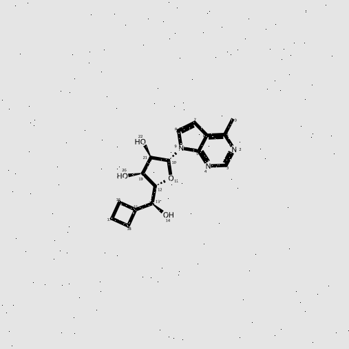 Cc1ncnc2c1ccn2[C@@H]1O[C@H]([C@@H](O)C2CCC2)[C@@H](O)[C@H]1O